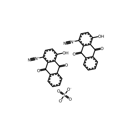 N#[N+]c1ccc(O)c2c1C(=O)c1ccccc1C2=O.N#[N+]c1ccc(O)c2c1C(=O)c1ccccc1C2=O.O=S(=O)([O-])[O-]